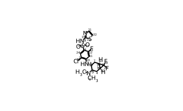 CN(C)[C@@H]1C[C@H]2[C@@H](C[C@H]1Nc1cc(F)c(S(=O)(=O)Nc3nccs3)cc1Cl)C2(F)F